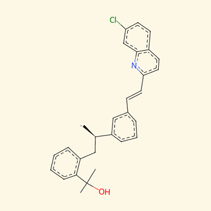 [CH2][C@H](Cc1ccccc1C(C)(C)O)c1cccc(C=Cc2ccc3ccc(Cl)cc3n2)c1